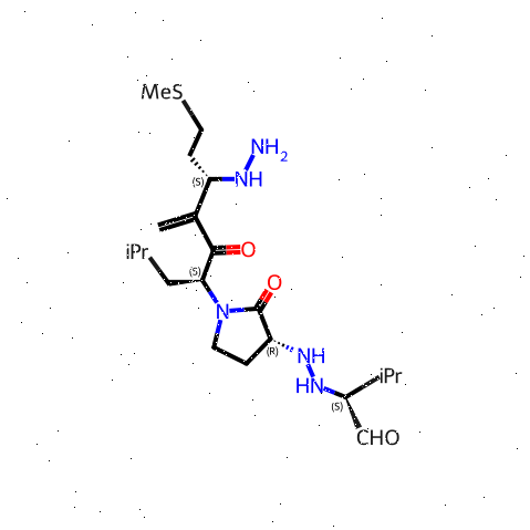 C=C(C(=O)[C@H](CC(C)C)N1CC[C@@H](NN[C@H](C=O)C(C)C)C1=O)[C@H](CCSC)NN